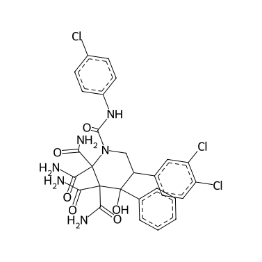 NC(=O)C1(C(N)=O)N(C(=O)Nc2ccc(Cl)cc2)CC(c2ccc(Cl)c(Cl)c2)C(O)(c2ccccc2)C1(C(N)=O)C(N)=O